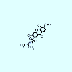 COc1ccc(C(=O)c2ccc(Cl)c(S(=O)(=O)/N=C/N(C)C)c2)c(Cl)c1Cl